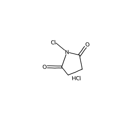 Cl.O=C1CCC(=O)N1Cl